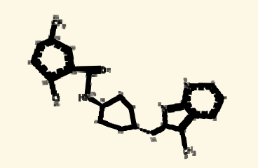 CC1=c2cccnc2=NC1C[C@H]1CC[C@H](NC(=O)c2cc(C(F)(F)F)ccc2Cl)CC1